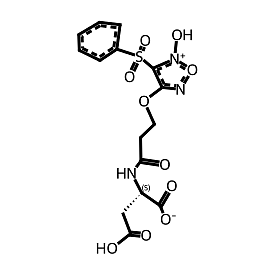 O=C(O)C[C@H](NC(=O)CCOc1no[n+](O)c1S(=O)(=O)c1ccccc1)C(=O)[O-]